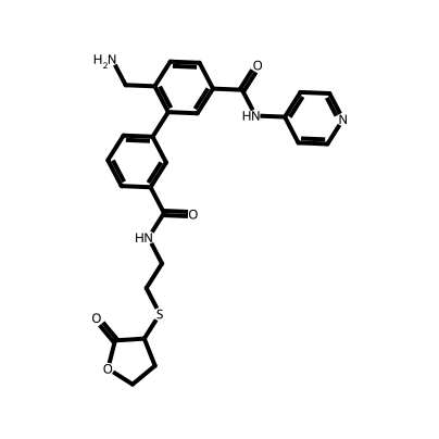 NCc1ccc(C(=O)Nc2ccncc2)cc1-c1cccc(C(=O)NCCSC2CCOC2=O)c1